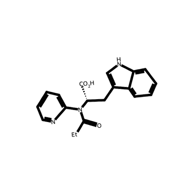 CCC(=O)N(c1ccccn1)[C@@H](Cc1c[nH]c2ccccc12)C(=O)O